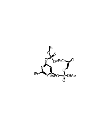 CCOP(=S)(OCC)Oc1cc(C)nc(C(C)C)n1.COP(=O)(OC)OC=C(Cl)Cl